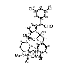 COP(=O)(OC)C1(O)CCCN(S(=O)(=O)c2cnc(N(C=O)c3cc(Cl)cc(Cl)c3)n2C(C)(C)Cc2ccc(Br)cc2)C1